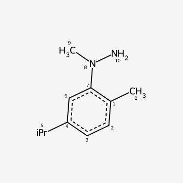 Cc1ccc(C(C)C)cc1N(C)N